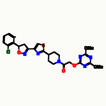 COc1nc(OC)nc(OCC(=O)N2CCC(c3nc(C4=NOC(c5[c]cccc5Cl)C4)cs3)CC2)n1